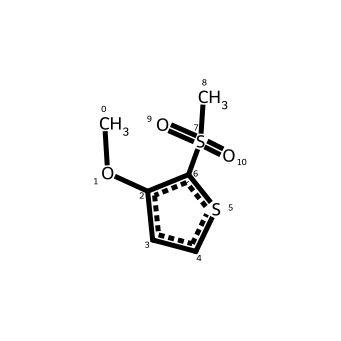 COc1ccsc1S(C)(=O)=O